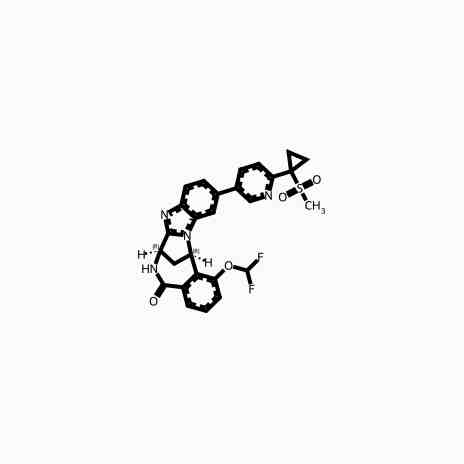 CS(=O)(=O)C1(c2ccc(-c3ccc4nc5n(c4c3)[C@@H]3C[C@H]5NC(=O)c4cccc(OC(F)F)c43)cn2)CC1